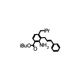 CC(C)COC(=O)c1ccc(CC(C)C)c(CC=Cc2ccccc2)c1N